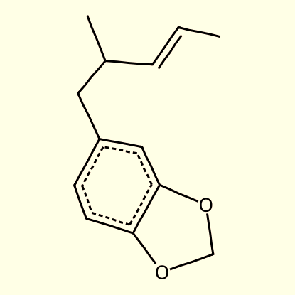 C/C=C/C(C)Cc1ccc2c(c1)OCO2